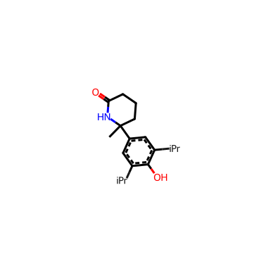 CC(C)c1cc(C2(C)CCCC(=O)N2)cc(C(C)C)c1O